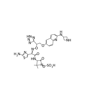 CC1(C)C(NC(=O)/C(=N\OC(COc2ccc3nc(NC4CNC4)ccc3c2)c2nn[nH]n2)c2csc(N)n2)C(=O)N1OS(=O)(=O)O